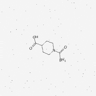 BC(=O)N1CCC(C(=O)O)CC1